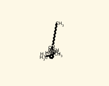 CCCCCCCCCCCCCCOC(=O)C(S)S(=O)(=O)Nc1c(C(C)C)cccc1C(C)C